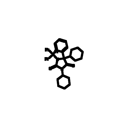 CC(C)[Si](C(C)C)(C(C)C)N1C(=O)N(C2CCCCC2)C(=O)C1(c1ccccc1)C1CCCCC1